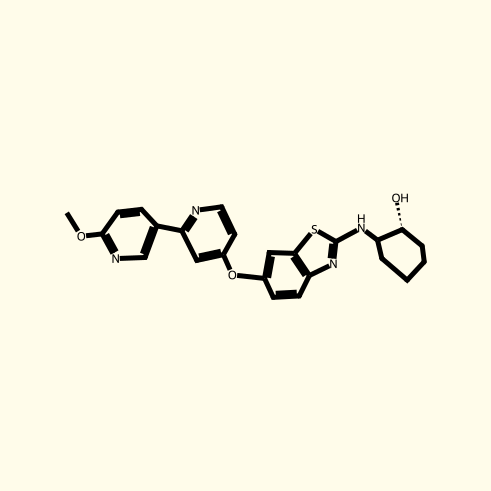 COc1ccc(-c2cc(Oc3ccc4nc(NC5CCCC[C@H]5O)sc4c3)ccn2)cn1